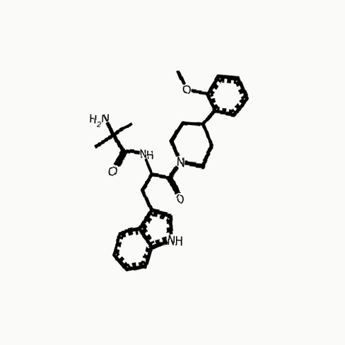 COc1ccccc1C1CCN(C(=O)C(Cc2c[nH]c3ccccc23)NC(=O)C(C)(C)N)CC1